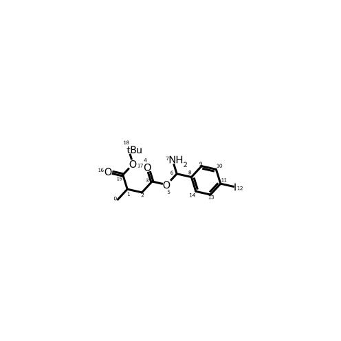 CC(CC(=O)OC(N)c1ccc(I)cc1)C(=O)OC(C)(C)C